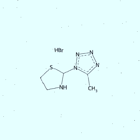 Br.Cc1nnnn1C1NCCS1